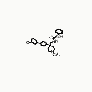 CN1CCC(CNC(=O)Nc2ccccc2)(c2ccc(-c3cccc(Cl)c3)cc2)CC1